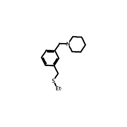 C[CH]SCc1cccc(CN2CCCCC2)c1